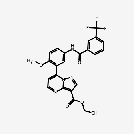 CCOC(=O)c1cnn2c(-c3cc(NC(=O)c4cccc(C(F)(F)F)c4)ccc3OC)ccnc12